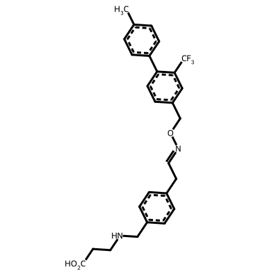 Cc1ccc(-c2ccc(CON=CCc3ccc(CNCCC(=O)O)cc3)cc2C(F)(F)F)cc1